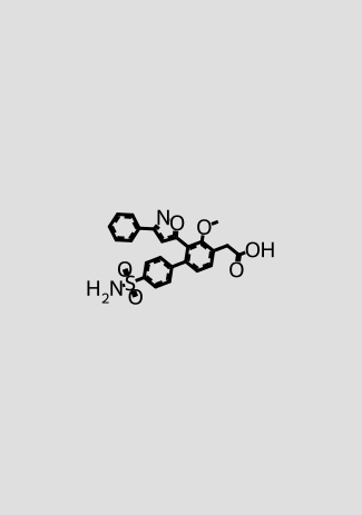 COc1c(CC(=O)O)ccc(-c2ccc(S(N)(=O)=O)cc2)c1-c1cc(-c2ccccc2)no1